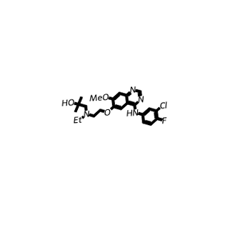 CCN(CCOc1cc2c(Nc3ccc(F)c(Cl)c3)ncnc2cc1OC)CC(C)(C)O